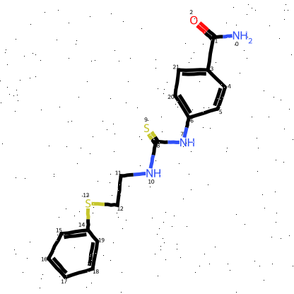 NC(=O)c1ccc(NC(=S)NCCSc2ccccc2)cc1